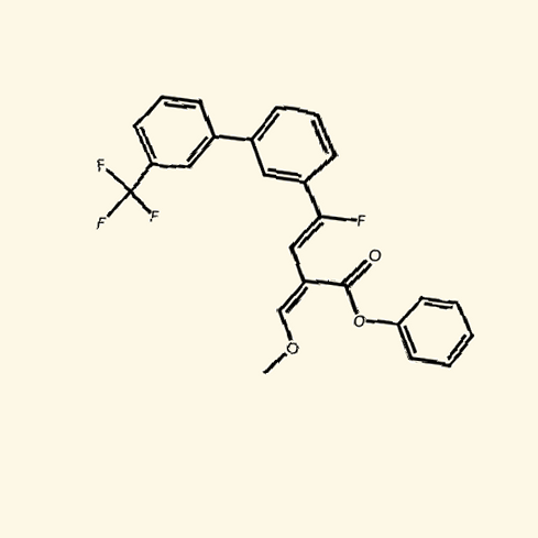 COC=C(C=C(F)c1cccc(-c2cccc(C(F)(F)F)c2)c1)C(=O)Oc1ccccc1